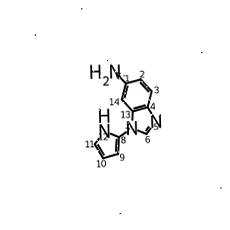 Nc1ccc2ncn(-c3ccc[nH]3)c2c1